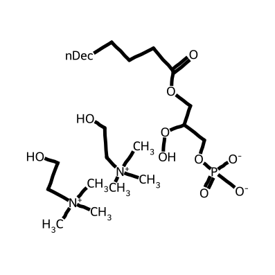 CCCCCCCCCCCCCC(=O)OCC(COP(=O)([O-])[O-])OO.C[N+](C)(C)CCO.C[N+](C)(C)CCO